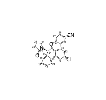 N#Cc1ccc(O[C@@H](c2ccc(Cl)cc2)[C@@H](c2ccccc2)N2CCCC2=O)cc1